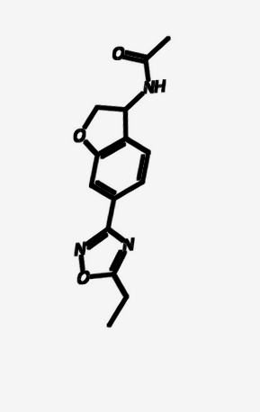 CCc1nc(-c2ccc3c(c2)OCC3NC(C)=O)no1